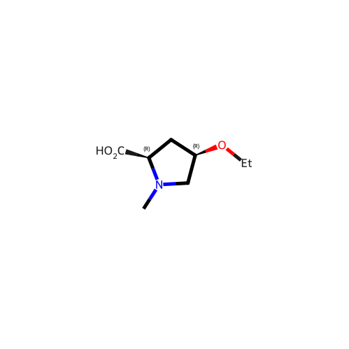 CCO[C@@H]1C[C@H](C(=O)O)N(C)C1